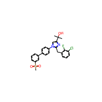 CC(C)(O)c1cn(-c2ccc(-c3cccc(S(C)(=O)=O)c3)cc2)c(Cc2cccc(Cl)c2F)n1